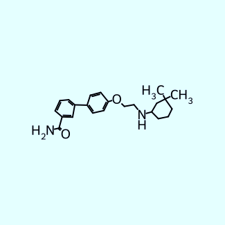 CC1(C)CCCC(NCCOc2ccc(-c3cccc(C(N)=O)c3)cc2)C1